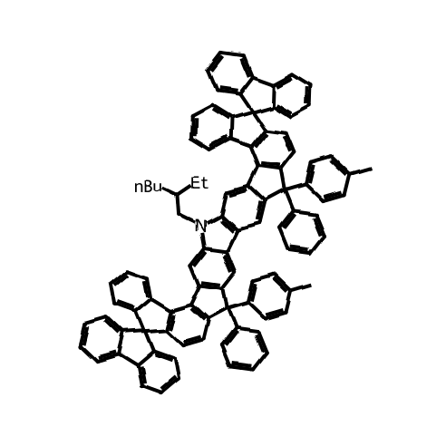 CCCCC(CC)Cn1c2cc3c(cc2c2cc4c(cc21)-c1c(ccc2c1-c1ccccc1C21c2ccccc2-c2ccccc21)C4(c1ccccc1)c1ccc(C)cc1)C(c1ccccc1)(c1ccc(C)cc1)c1ccc2c(c1-3)-c1ccccc1C21c2ccccc2-c2ccccc21